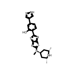 C[C@@H]1C[C@@H](N(C)c2nc3sc(-c4ccc(-c5cn[nH]c5)cc4O)nc3s2)C[C@H](C)N1